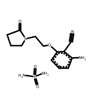 N#Cc1c(N)cccc1OCCN1CCCC1=O.NS(N)(=O)=O